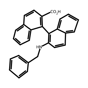 O=C(O)c1ccc2ccccc2c1-c1c(NCc2ccccc2)ccc2ccccc12